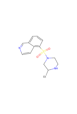 CCC1CN(S(=O)(=O)c2cccc3cnccc23)CCN1